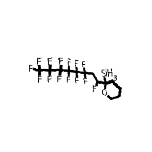 FC(CC(F)(F)C(F)(F)C(F)(F)C(F)(F)C(F)(F)C(F)(F)F)C1([SiH3])CCCCO1